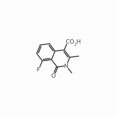 Cc1c(C(=O)O)c2cccc(F)c2c(=O)n1C